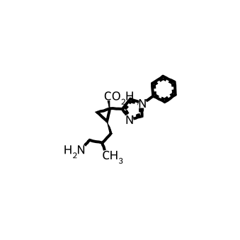 CC(CN)C[C@H]1C[C@]1(C(=O)O)c1cn(-c2ccccc2)cn1